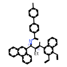 C=Cc1cc(/C(C)=C(CC)/C(=N\C(=C)c2ccc(-c3ccc(C)cc3)cc2)c2cc3ccccc3c3ccccc23)c2ccccc2c1C=C